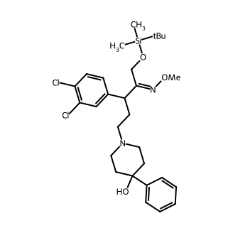 CON=C(CO[Si](C)(C)C(C)(C)C)C(CCN1CCC(O)(c2ccccc2)CC1)c1ccc(Cl)c(Cl)c1